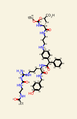 CCC(=O)NCCNC(=O)/N=C(/N)NCCC[C@@H](NC(=O)C(c1ccccc1)c1ccc(NCCCNC(=O)[C@@H](CCC(=O)O)NC(=O)OC(C)(C)C)cc1)C(=O)NCc1ccc(O)cc1